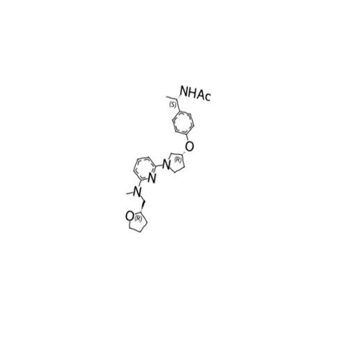 CC(=O)N[C@@H](C)c1ccc(O[C@@H]2CCN(c3cccc(N(C)C[C@H]4CCCO4)n3)C2)cc1